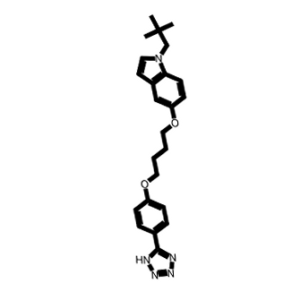 CC(C)(C)Cn1ccc2cc(OCCCCOc3ccc(-c4nnn[nH]4)cc3)ccc21